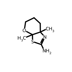 CC12CCCOC1(C)SC(N)=N2